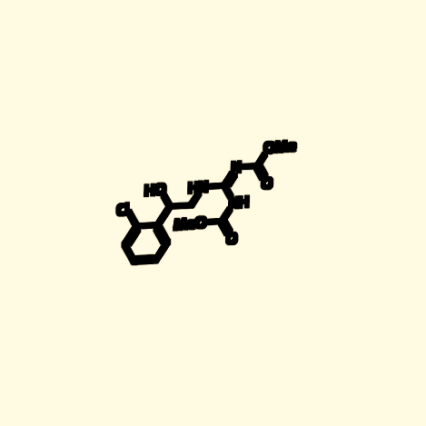 COC(=O)N=C(NCC(O)c1ccccc1Cl)NC(=O)OC